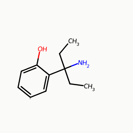 CCC(N)(CC)c1c[c]ccc1O